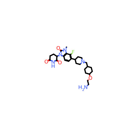 Cn1c(=O)n(C2CCC(=O)NC2=O)c2ccc(C3CCN(CC4CCC(OCCN)CC4)CC3)c(F)c21